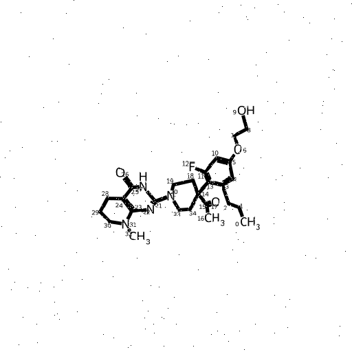 CCCc1cc(OCCO)cc(F)c1C1(C(C)=O)CCN(c2nc3c(c(=O)[nH]2)CCCN3C)CC1